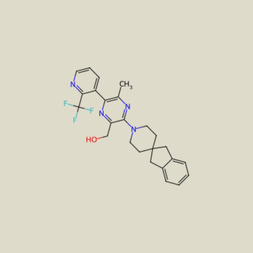 Cc1nc(N2CCC3(CC2)Cc2ccccc2C3)c(CO)nc1-c1cccnc1C(F)(F)F